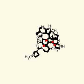 C[C@@H]1CCN(C(=O)[C@H]2CCN(C)C2)C[C@@H]1c1nc(-c2c[nH]c3ncc4cnc([C@H]5CN(C(=O)[C@@H]6CCN(C)C6)CC[C@H]5C)n4c23)c2cnc3[nH]ccc3n12